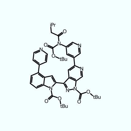 CC(C)CC(=O)N(C(=O)OC(C)(C)C)c1cncc(-c2cc3c(-c4cc5c(-c6ccncc6)cccc5n4C(=O)OC(C)(C)C)nn(C(=O)OC(C)(C)C)c3cn2)c1